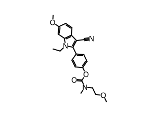 CCn1c(-c2ccc(OC(=O)N(C)CCOC)cc2)c(C#N)c2ccc(OC)cc21